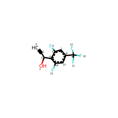 C#CC(O)c1c(F)cc(C(F)(F)F)cc1F